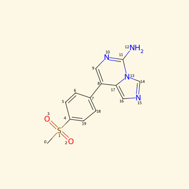 CS(=O)(=O)c1ccc(-c2cnc(N)n3cncc23)cc1